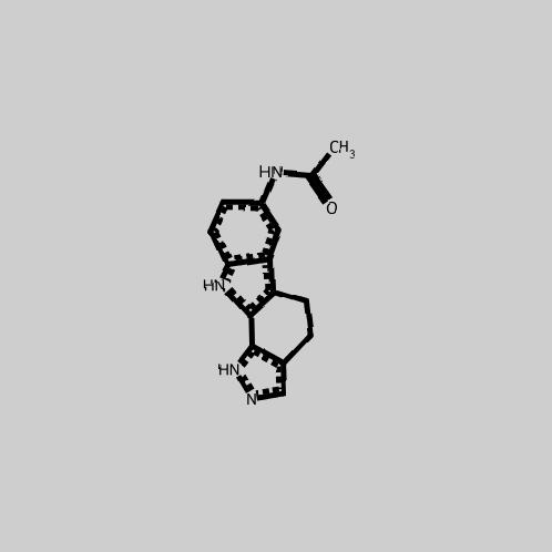 CC(=O)Nc1ccc2[nH]c3c(c2c1)CCc1cn[nH]c1-3